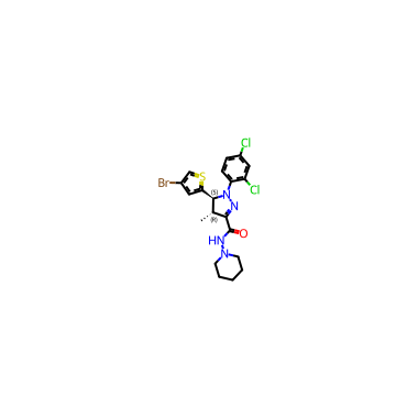 C[C@H]1C(C(=O)NN2CCCCC2)=NN(c2ccc(Cl)cc2Cl)[C@@H]1c1cc(Br)cs1